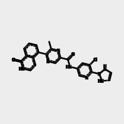 Cc1nc(C(=O)Nc2cnc(N3NC=CN3)c(Cl)c2)cnc1-c1cccc2c(=O)[nH]ccc12